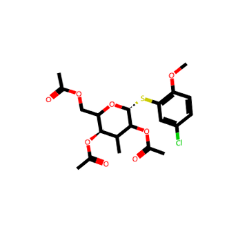 COc1ccc(Cl)cc1S[C@H]1OC(COC(C)=O)[C@H](OC(C)=O)C(C)C1OC(C)=O